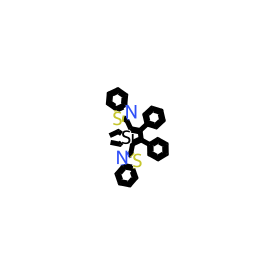 CC[Si]1(CC)C(c2nc3ccccc3s2)=C(c2ccccc2)C(c2ccccc2)=C1c1nc2ccccc2s1